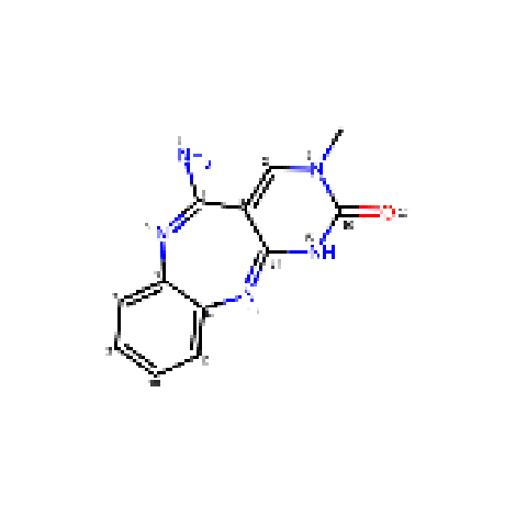 CN1C=C2C(N)=Nc3ccccc3N=C2NC1=O